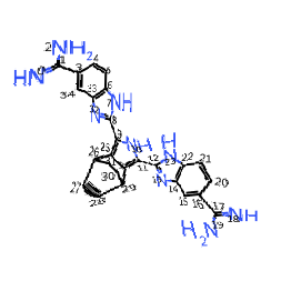 N=C(N)c1ccc2[nH]c(-c3[nH]c(-c4nc5cc(C(=N)N)ccc5[nH]4)c4c3C3C=CC4CC3)nc2c1